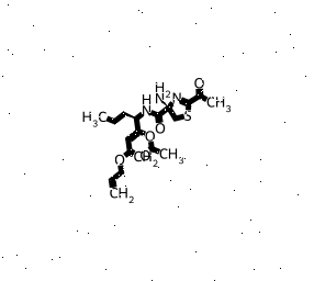 C=CCOC(=C)/C=C(\OC(C)=O)[C@@H](CCC)NC(=O)[C@]1(N)CSC(C(C)=O)=N1